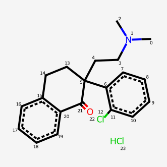 CN(C)CCC1(c2ccccc2Cl)CCc2ccccc2C1=O.Cl